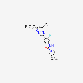 CCOC(=O)c1cc(C2CC2)c2nc(-c3ccc(NC(=O)N4CCC(OC(C)=O)C4)cc3F)cn2n1